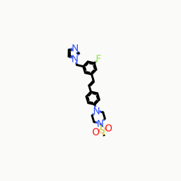 CS(=O)(=O)N1CCN(c2ccc(C=Cc3cc(F)cc(Cn4ccnc4)c3)cc2)CC1